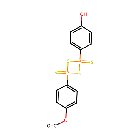 O=COc1ccc(P2(=S)SP(=S)(c3ccc(O)cc3)S2)cc1